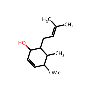 COC1C=CC(O)C(CC=C(C)C)C1C